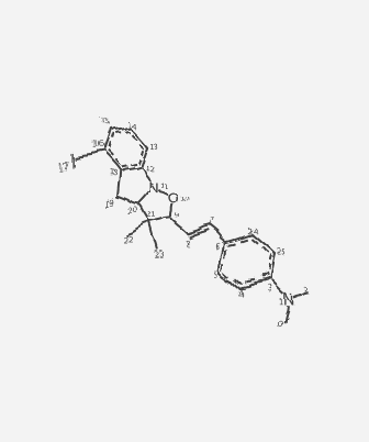 CN(C)c1ccc(C=CC2ON3c4cccc(I)c4CC3C2(C)C)cc1